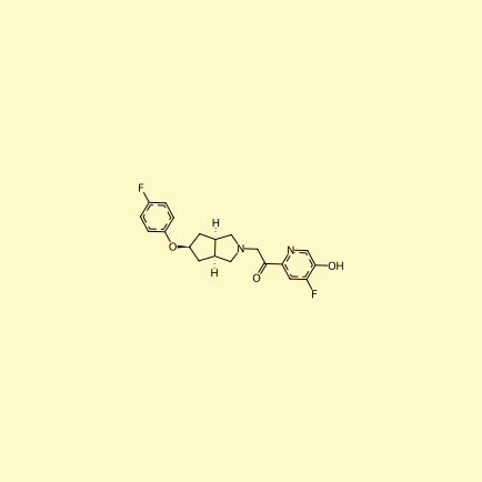 O=C(CN1C[C@H]2C[C@@H](Oc3ccc(F)cc3)C[C@H]2C1)c1cc(F)c(O)cn1